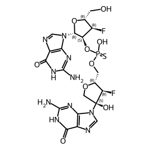 Nc1nc2c(ncn2[C@@H]2O[C@H](CO)[C@@H](F)[C@H]2OP(O)(=S)OC[C@H]2OC[C@@](O)(n3cnc4c(=O)[nH]c(N)nc43)[C@@H]2F)c(=O)[nH]1